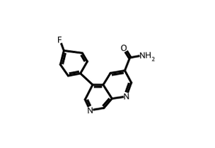 NC(=O)c1cnc2cncc(-c3ccc(F)cc3)c2c1